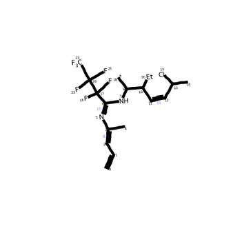 C=C/C=C(C)/N=C(\NC(C)C(/C=C\C(C)Cl)CC)C(F)(F)C(F)(F)C(F)(F)F